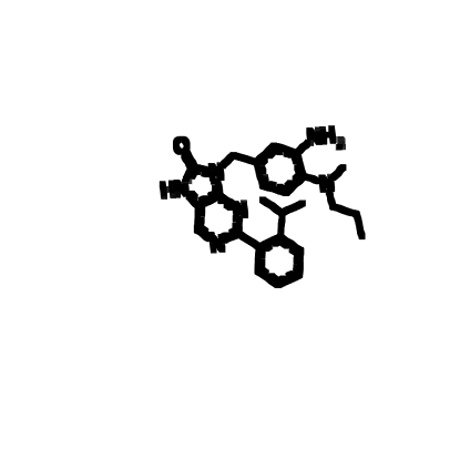 CCCN(C)c1ccc(Cn2c(=O)[nH]c3cnc(-c4ccccc4C(C)C)nc32)cc1N